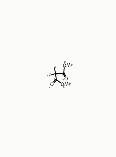 COC(=O)C(C)(F)C(=O)OC